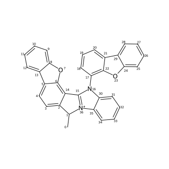 CC1c2ccc3c(oc4ccccc43)c2-c2n(-c3cccc4c3oc3ccccc34)c3ccccc3[n+]21